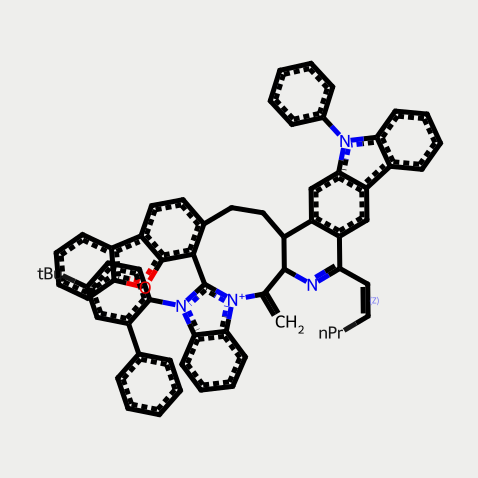 C=C1C2N=C(/C=C\CCC)c3cc4c5ccccc5n(-c5ccccc5)c4cc3C2CCc2ccc3c(oc4ccccc43)c2-c2n(-c3ccc(C(C)(C)C)cc3-c3ccccc3)c3ccccc3[n+]21